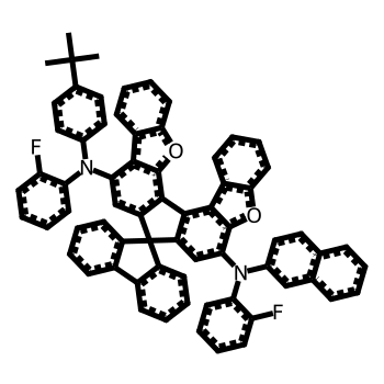 CC(C)(C)c1ccc(N(c2ccccc2F)c2cc3c(c4oc5ccccc5c24)-c2c(cc(N(c4ccc5ccccc5c4)c4ccccc4F)c4oc5ccccc5c24)C32c3ccccc3-c3ccccc32)cc1